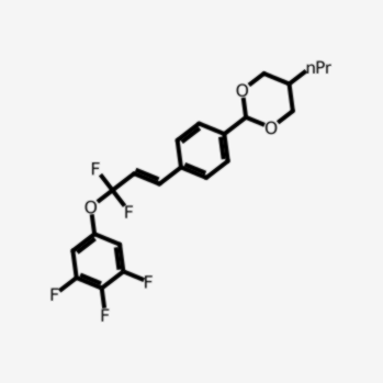 CCCC1COC(c2ccc(/C=C/C(F)(F)Oc3cc(F)c(F)c(F)c3)cc2)OC1